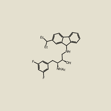 CCC(CC)c1ccc2c(c1)C(NC[C@@H](O)[C@H](Cc1cc(F)cc(F)c1)NC(C)=O)c1ccccc1-2